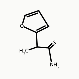 CC(C(N)=S)c1ccco1